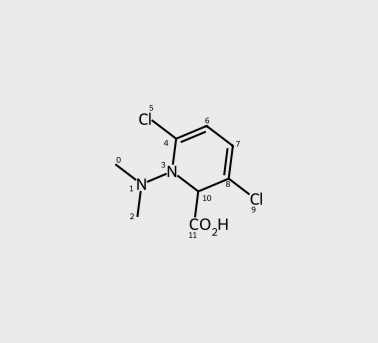 CN(C)N1C(Cl)=CC=C(Cl)C1C(=O)O